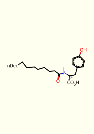 CCCCCCCCCCCCCCCCCC(=O)N[C@@H](Cc1ccc(O)cc1)C(=O)O